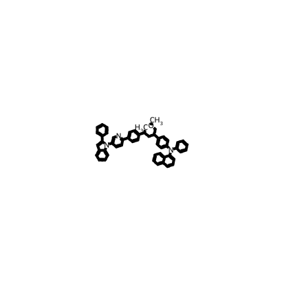 COCC(CC(C)c1ccc(-c2ccc(-n3c(-c4ccccc4)cc4ccccc43)cn2)cc1)c1ccc(N(c2ccccc2)c2cccc3ccccc23)cc1